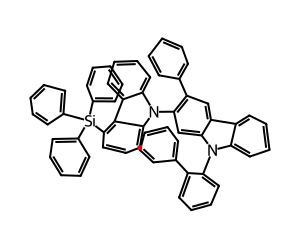 c1ccc(-c2ccccc2-n2c3ccccc3c3cc(-c4ccccc4)c(-n4c5ccccc5c5c([Si](c6ccccc6)(c6ccccc6)c6ccccc6)cccc54)cc32)cc1